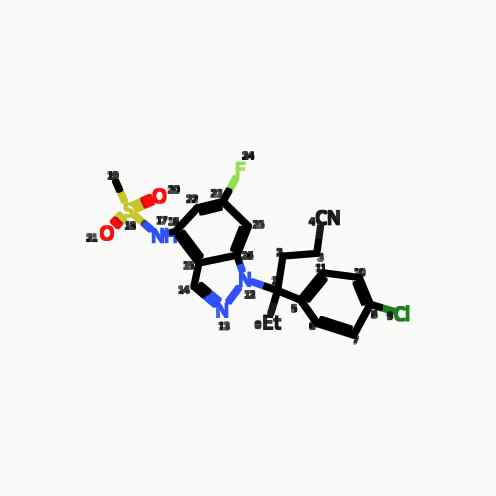 CCC(CCC#N)(c1ccc(Cl)cc1)n1ncc2c(NS(C)(=O)=O)cc(F)cc21